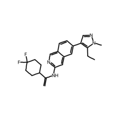 C=C(Nc1cc2cc(-c3cnn(C)c3CC)ccc2cn1)C1CCC(F)(F)CC1